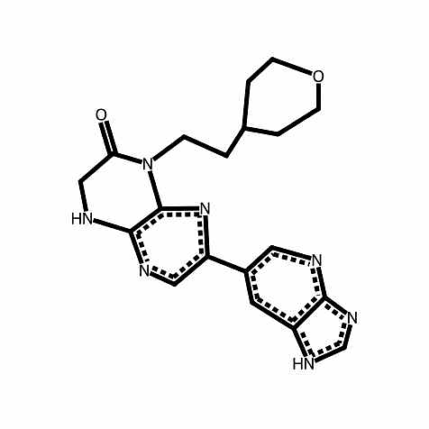 O=C1CNc2ncc(-c3cnc4nc[nH]c4c3)nc2N1CCC1CCOCC1